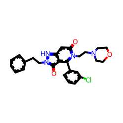 O=c1c2c(-c3cccc(Cl)c3)n(CCN3CCOCC3)c(=O)cc2[nH]n1CCc1ccccc1